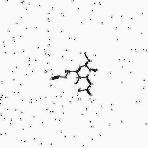 C#CCN/C(=C/C(CCCCCCC)=N\C)N(C)/N=C\C(=C)Br